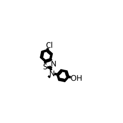 CN(c1ccc(O)cc1)c1nc2cc(Cl)ccc2s1